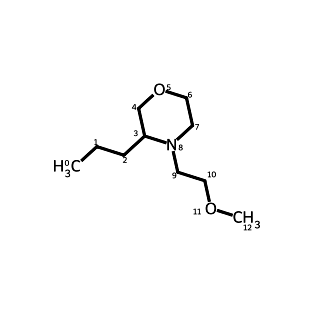 CCCC1COCCN1CCOC